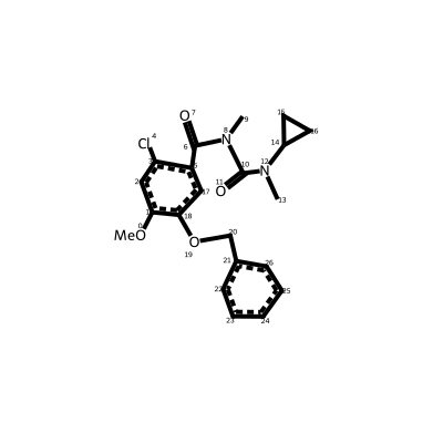 COc1cc(Cl)c(C(=O)N(C)C(=O)N(C)C2CC2)cc1OCc1ccccc1